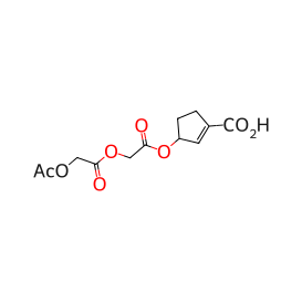 CC(=O)OCC(=O)OCC(=O)OC1C=C(C(=O)O)CC1